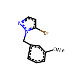 COc1cccc(Cn2nccc2Br)c1